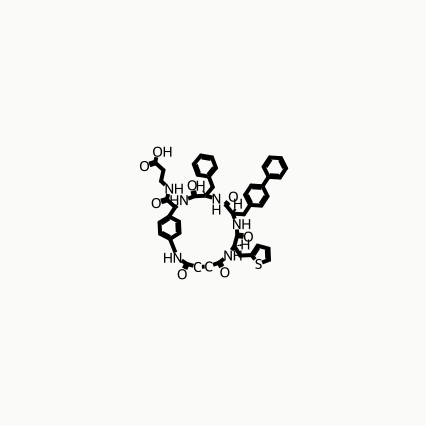 O=C(O)CCNC(=O)C1NC(=O)[C@@H](Cc2ccccc2)NC(=O)[C@H](Cc2ccc(-c3ccccc3)cc2)NC(=O)[C@@H](Cc2cccs2)NC(=O)CCC(=O)Nc2ccc1cc2